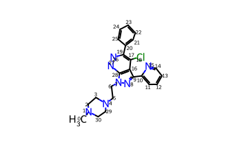 CN1CCN(CCn2nc(-c3ccccn3)c3c(Cl)c(-c4ccccc4)nnc32)CC1